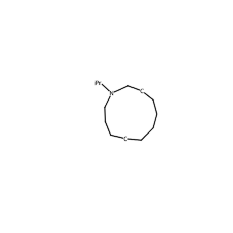 CC(C)N1CCCCCCCCCC1